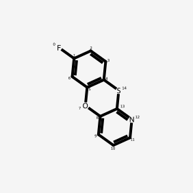 Fc1ccc2c(c1)Oc1cccnc1S2